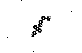 CC(C)(C)c1ccc(-c2c3ccccc3c(-c3ccc4c(c3)CCC(c3cc(-c5cccnc5)ccn3)=C4)c3ccccc23)cc1